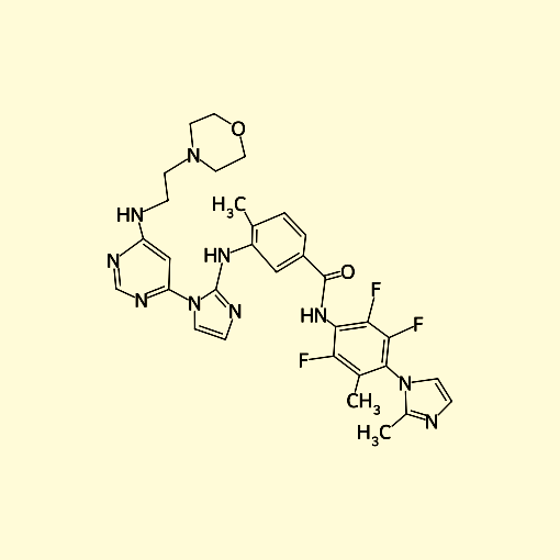 Cc1ccc(C(=O)Nc2c(F)c(C)c(-n3ccnc3C)c(F)c2F)cc1Nc1nccn1-c1cc(NCCN2CCOCC2)ncn1